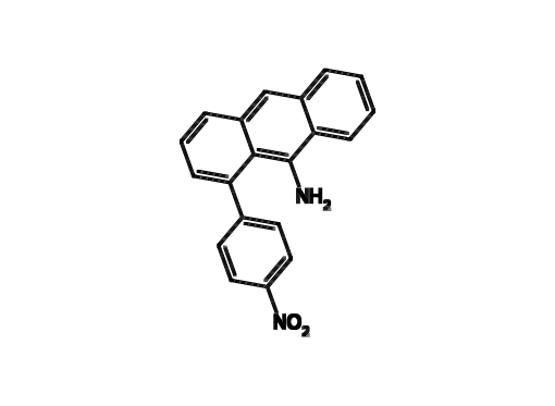 Nc1c2ccccc2cc2cccc(-c3ccc([N+](=O)[O-])cc3)c12